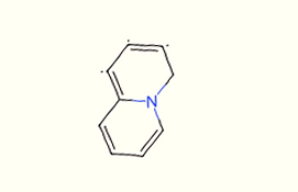 [C]1=[C]CN2C=CC=CC2=[C]1